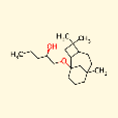 CCC[C@@H](O)COC12CCCC(C)(CCC3C1CC3(C)C)C2